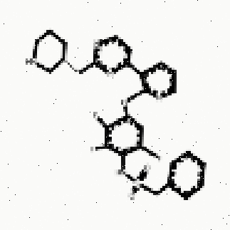 O=S(=O)(Cc1ccccc1)Nc1c(F)cc(Oc2ncccc2-c2ccnc(C[C@H]3CCCNC3)n2)c(F)c1F